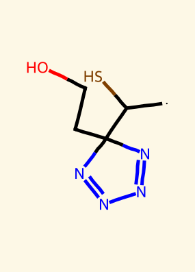 [CH2]C(S)C1(CCO)N=NN=N1